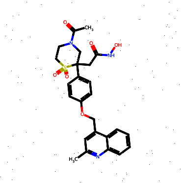 CC(=O)N1CCS(=O)(=O)C(CC(=O)NO)(c2ccc(OCc3cc(C)nc4ccccc34)cc2)C1